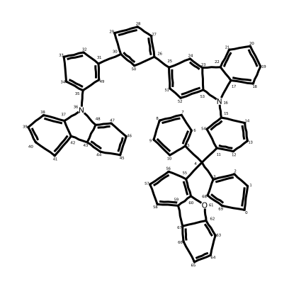 c1ccc(C(c2ccccc2)(c2cccc(-n3c4ccccc4c4cc(-c5cccc(-c6cccc(-n7c8ccccc8c8ccccc87)c6)c5)ccc43)c2)c2cccc3c2oc2ccccc23)cc1